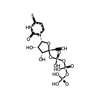 C#C[C@]1(OP(=O)(O)OP(=O)(O)OP(=O)(O)O)O[C@@H](n2ccc(=S)[nH]c2=O)[C@@H](O)[C@H]1O